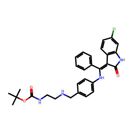 CC(C)(C)OC(=O)NCCNCc1ccc(N/C(=C2\C(=O)Nc3cc(Cl)ccc32)c2ccccc2)cc1